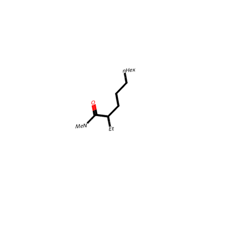 CCCCCCCCCC(CC)C(=O)NC